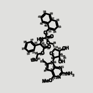 COc1nc(N)nc2c1nc(I)n2C1O[C@H](COP(=O)(N[C@@H](C(=O)OCC(C)(C)C)c2ccccc2)Oc2cccc3ccccc23)[C@@H](O)[C@@]1(C)O